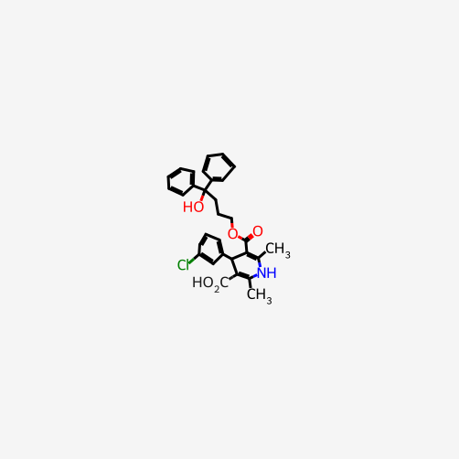 CC1=C(C(=O)O)C(c2cccc(Cl)c2)C(C(=O)OCCCC(O)(c2ccccc2)c2ccccc2)=C(C)N1